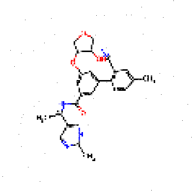 Cc1ccc(-c2cc(OC3COCC3O)cc(C(=O)N[C@H](C)c3cnc(C)nc3)c2)c(C#N)c1